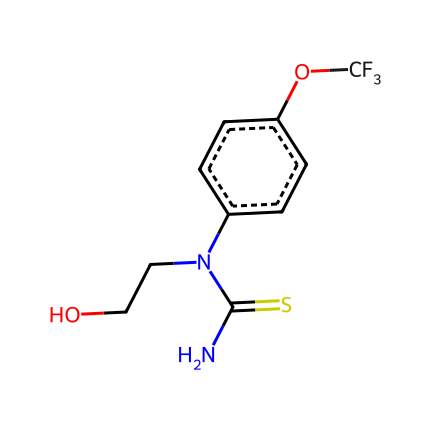 NC(=S)N(CCO)c1ccc(OC(F)(F)F)cc1